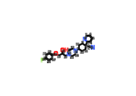 N#C[C@]1(c2ccccn2)CC[C@H](N2CCN(CC(O)COc3ccc(F)cc3)CC2)CC1